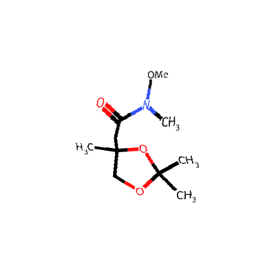 CON(C)C(=O)C1(C)COC(C)(C)O1